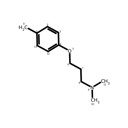 [CH2]c1ccc(OCCCN(C)C)cc1